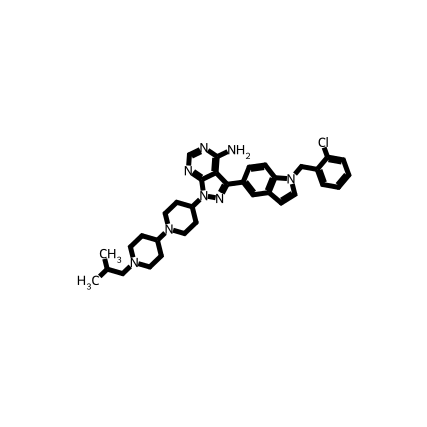 CC(C)CN1CCC(N2CCC(n3nc(-c4ccc5c(ccn5Cc5ccccc5Cl)c4)c4c(N)ncnc43)CC2)CC1